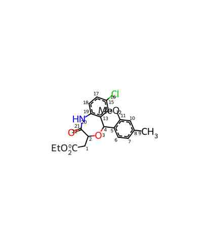 CCOC(=O)CC1OC(c2ccc(C)cc2OC)c2cc(Cl)ccc2NC1=O